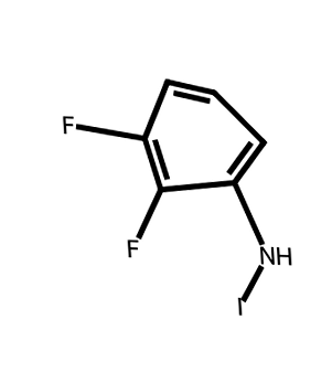 Fc1cccc(NI)c1F